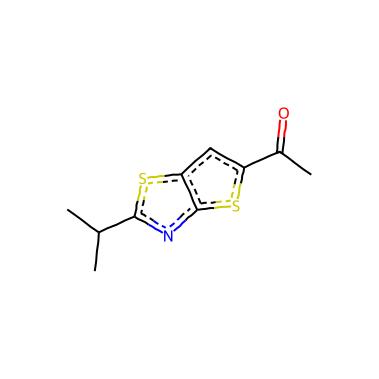 CC(=O)c1cc2sc(C(C)C)nc2s1